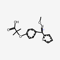 CO/N=C(\c1ccc(OC(C)(C)C(=O)O)cc1)c1cccs1